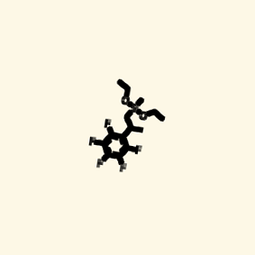 CCO[Si](C)(CC(C)c1c(F)c(F)c(F)c(F)c1F)OCC